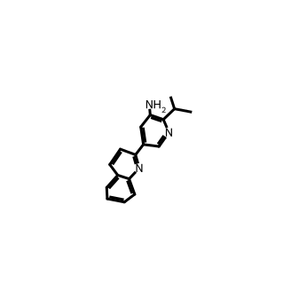 CC(C)c1ncc(-c2ccc3ccccc3n2)cc1N